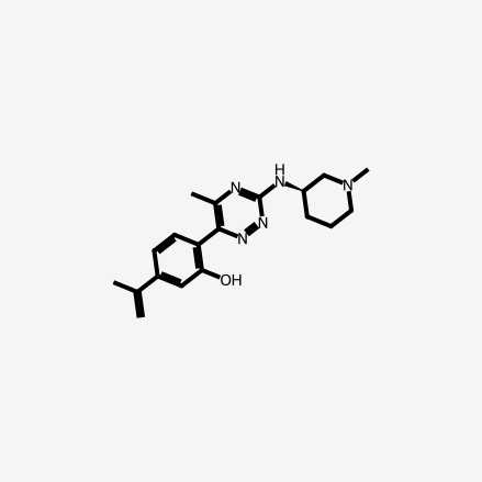 C=C(C)c1ccc(-c2nnc(N[C@@H]3CCCN(C)C3)nc2C)c(O)c1